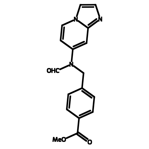 COC(=O)c1ccc(CN(C=O)c2ccn3ccnc3c2)cc1